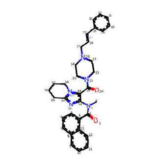 CN(C(=O)c1cccc2ccccc12)c1nc2n(c1C(=O)N1CCN(C/C=C/c3ccccc3)CC1)CCCC2